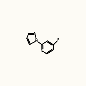 Fc1ccnc(-n2cccn2)c1